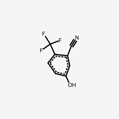 N#Cc1cc(O)ccc1C(F)(F)F